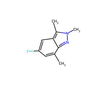 Cc1cc(F)cc2c(C)n(C)nc12